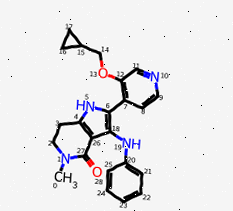 CN1CCc2[nH]c(-c3ccncc3OCC3CC3)c(Nc3ccccc3)c2C1=O